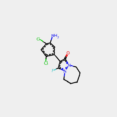 Nc1cc(-c2c(F)n3n(c2=O)CCCCC3)c(Cl)cc1Cl